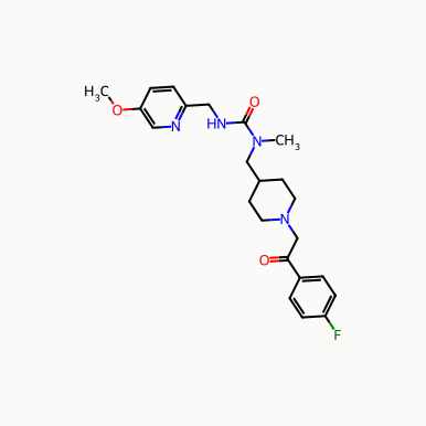 COc1ccc(CNC(=O)N(C)CC2CCN(CC(=O)c3ccc(F)cc3)CC2)nc1